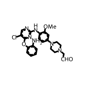 COc1cc(N2CCN(CC=O)CC2)ccc1Nc1ncc(Cl)c(Oc2ccccc2N)n1